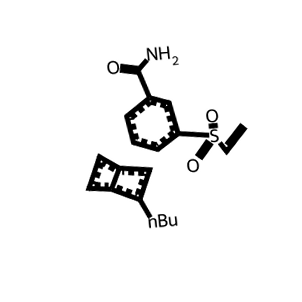 C=CS(=O)(=O)c1cccc(C(N)=O)c1.CCCCc1cc2ccc1-2